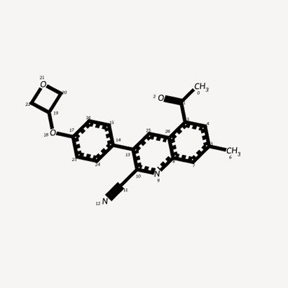 CC(=O)c1cc(C)cc2nc(C#N)c(-c3ccc(OC4COC4)cc3)cc12